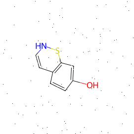 Oc1ccc2c(c1)SNC=C2